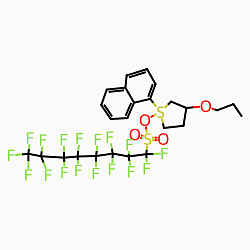 CCCOC1CCS(OS(=O)(=O)C(F)(F)C(F)(F)C(F)(F)C(F)(F)C(F)(F)C(F)(F)C(F)(F)C(F)(F)F)(c2cccc3ccccc23)C1